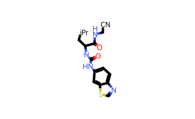 CC(C)CC([N]C(=O)Nc1ccc2ncsc2c1)C(=O)NCC#N